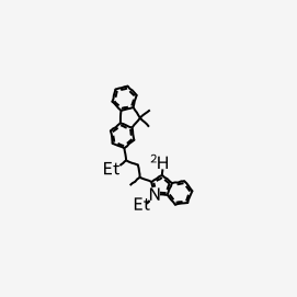 [2H]c1c(C(C)CC(CC)c2ccc3c(c2)C(C)(C)c2ccccc2-3)n(CC)c2ccccc12